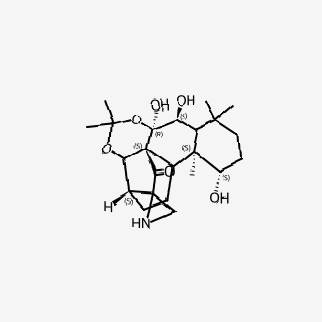 CC1(C)OC2[C@H]3CCC4[C@@]5(C)C([C@H](O)[C@](O)(O1)[C@@]24C(=O)C31CN1)C(C)(C)CC[C@@H]5O